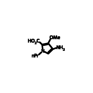 CCCn1cc(N)c(OC)c1C(=O)O